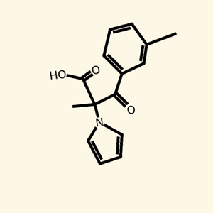 Cc1cccc(C(=O)C(C)(C(=O)O)n2cccc2)c1